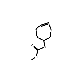 COC(=O)OC1CCC=CCC1